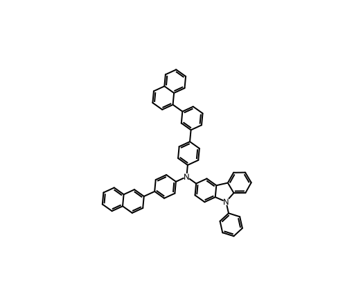 c1ccc(-n2c3ccccc3c3cc(N(c4ccc(-c5cccc(-c6cccc7ccccc67)c5)cc4)c4ccc(-c5ccc6ccccc6c5)cc4)ccc32)cc1